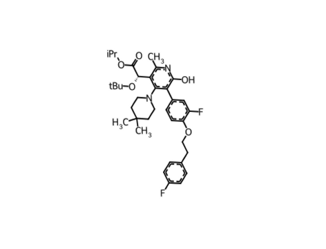 Cc1nc(O)c(-c2ccc(OCCc3ccc(F)cc3)c(F)c2)c(N2CCC(C)(C)CC2)c1[C@H](OC(C)(C)C)C(=O)OC(C)C